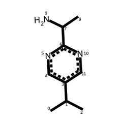 CC(C)c1cnc(C(C)N)nc1